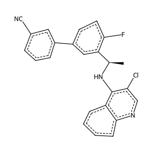 C[C@@H](Nc1c(Cl)cnc2ccccc12)c1cc(-c2cccc(C#N)c2)ccc1F